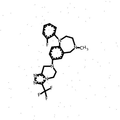 CN1CCN(c2ccccc2F)c2ccc(N3CCn4c(nnc4C(F)(F)F)C3)cc2C1